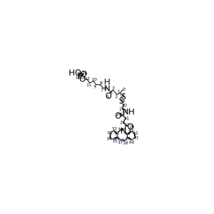 CC(CCC(=O)NCCCCCCOP(C)(=O)O)SSCCNC(=O)CCC(=O)N1Cc2ccccc2/C=C\c2ccccc21